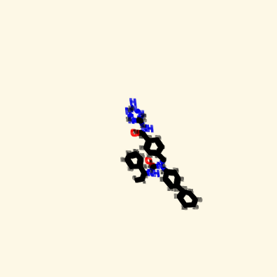 CCC(NC(=O)N(Cc1ccc(C(=O)Nc2nn[nH]n2)cc1)c1ccc(C2=CCCCC2)cc1)c1ccccc1